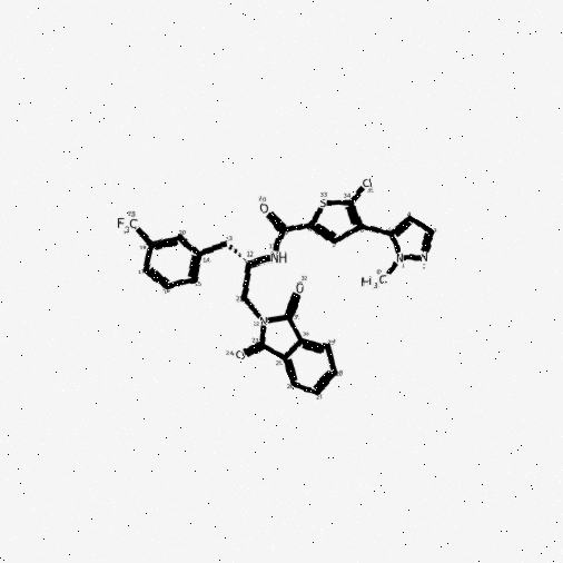 Cn1nccc1-c1cc(C(=O)N[C@@H](Cc2cccc(C(F)(F)F)c2)CN2C(=O)c3ccccc3C2=O)sc1Cl